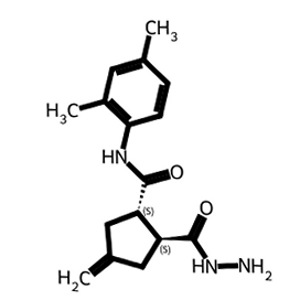 C=C1C[C@H](C(=O)NN)[C@@H](C(=O)Nc2ccc(C)cc2C)C1